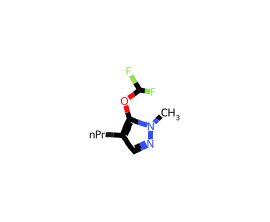 CCCc1[c]nn(C)c1OC(F)F